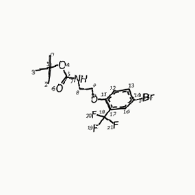 CC(C)(C)OC(=O)NCCOc1ccc(Br)cc1C(F)(F)F